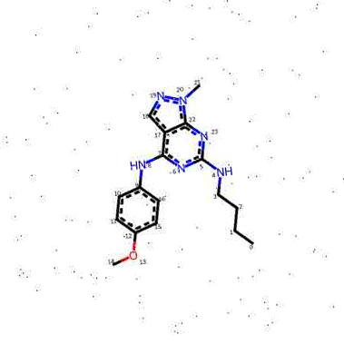 CCCCNc1nc(Nc2ccc(OC)cc2)c2cnn(C)c2n1